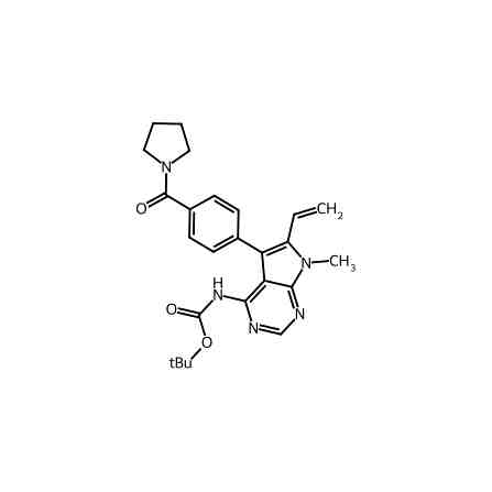 C=Cc1c(-c2ccc(C(=O)N3CCCC3)cc2)c2c(NC(=O)OC(C)(C)C)ncnc2n1C